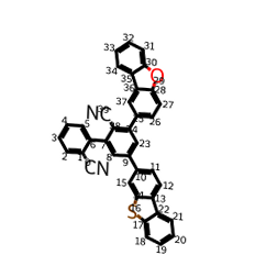 N#Cc1ccccc1-c1cc(-c2ccc3c(c2)sc2ccccc23)cc(-c2ccc3oc4ccccc4c3c2)c1C#N